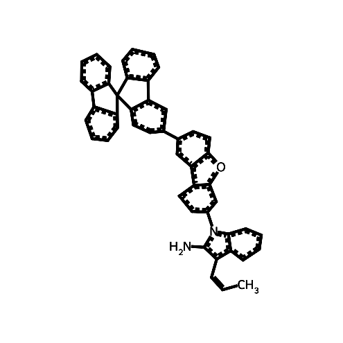 C/C=C\c1c(N)n(-c2ccc3c(c2)oc2ccc(-c4ccc5c(c4)-c4ccccc4C54c5ccccc5-c5ccccc54)cc23)c2ccccc12